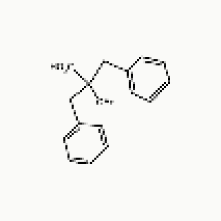 CC(=O)OC(Cc1ccccc1)(Cc1ccccc1)C(=O)O